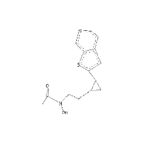 CC(=O)N(O)CCC1CC1c1cc2ccccc2s1